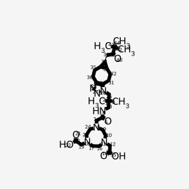 CC(C)(CNC(=O)CN1CCN(CC(=O)O)CCN(CC(=O)O)CC1)Cn1nnc2c1CCC1C(CC2)[C@@H]1CC(=O)C(C)(C)C